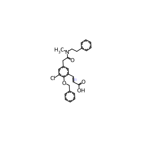 CN(CCc1ccccc1)C(=O)Cc1cc(Cl)c(OCc2ccccc2)c(/C=C/C(=O)O)c1